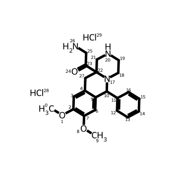 COc1cc2c(cc1OC)C(c1ccccc1)N1CCNCC1(C(=O)CN)C2.Cl.Cl